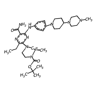 CCc1nc(C(N)=O)c(Nc2ccc(N3CCC(N4CCN(C)CC4)CC3)cc2)nc1N1CCN(C(=O)OC(C)(C)C)[C@H](C)C1